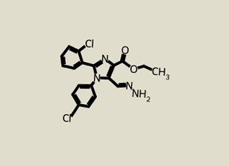 CCOC(=O)c1nc(-c2ccccc2Cl)n(-c2ccc(Cl)cc2)c1C=NN